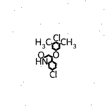 Cc1cc(Oc2cc(=O)[nH]c3cc(Cl)ccc23)cc(C)c1Cl